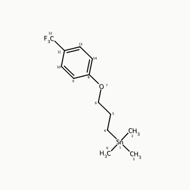 [CH3][Sn]([CH3])([CH3])[CH2]CCOc1ccc(C(F)(F)F)cc1